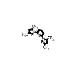 FC(F)(F)c1cc(C(F)(F)F)n(-c2cccc(-n3nc(C(F)(F)F)cc3C(F)(F)F)n2)n1